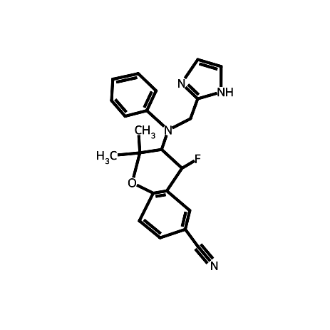 CC1(C)Oc2ccc(C#N)cc2C(F)C1N(Cc1ncc[nH]1)c1ccccc1